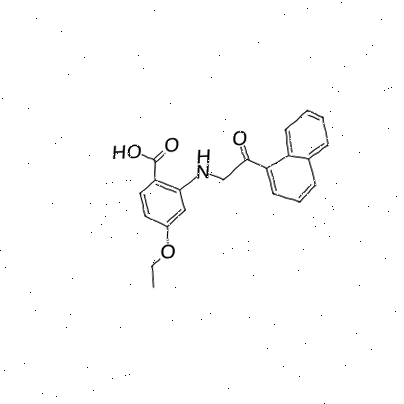 CCOc1ccc(C(=O)O)c(NCC(=O)c2cccc3ccccc23)c1